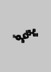 O=C(O)C1=NOC2(CCN(C(=O)c3ccc(F)cc3)CC2)C1